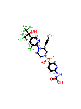 CC#C[C@H]1CN(S(=O)(=O)c2ccc(NC(=O)O)nc2)CCN1c1ncc(C(O)(C(F)(F)F)C(F)(F)F)cc1Cl